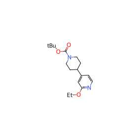 CCOc1cc(C2CCN(C(=O)OC(C)(C)C)CC2)ccn1